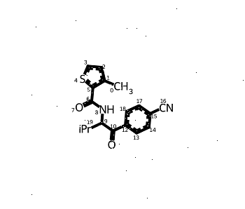 Cc1ccsc1C(=O)NC(C(=O)c1ccc(C#N)cc1)C(C)C